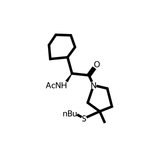 CCCCSC1(C)CCN(C(=O)[C@@H](NC(C)=O)C2CCCCC2)C1